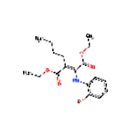 CCCCC(C(=O)OCC)=C(Nc1ccccc1Br)C(=O)OCC